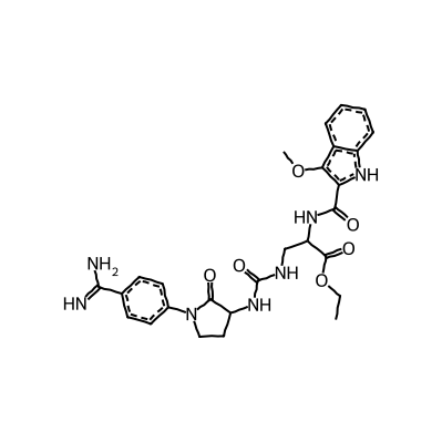 CCOC(=O)C(CNC(=O)NC1CCN(c2ccc(C(=N)N)cc2)C1=O)NC(=O)c1[nH]c2ccccc2c1OC